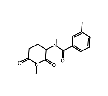 Cc1cccc(C(=O)NC2CCC(=O)N(C)C2=O)c1